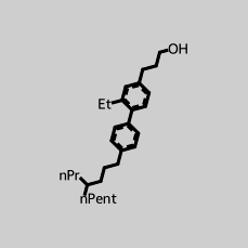 CCCCCC(CCC)CCCc1ccc(-c2ccc(CCCO)cc2CC)cc1